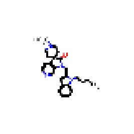 O=C(O)N1CCC2(CC1)C(=O)N(Cc1cc3ccccc3n1CCCC(F)(F)F)c1cnccc12